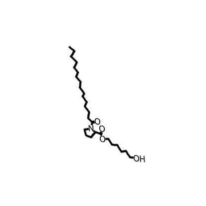 CCCCCCCCCCCCCCCC(=O)N1CCCC1C(=O)OCCCCCCO